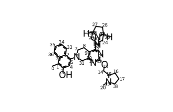 Cc1c(O)cc(N2CCc3c(nc(OCC4CCCN4C)nc3N3C[C@H]4CC[C@@H](C3)N4)C2)c2ccccc12